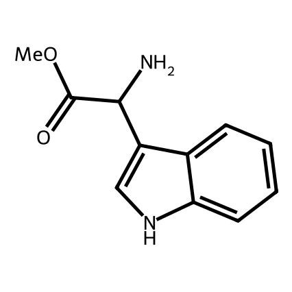 COC(=O)C(N)c1c[nH]c2ccccc12